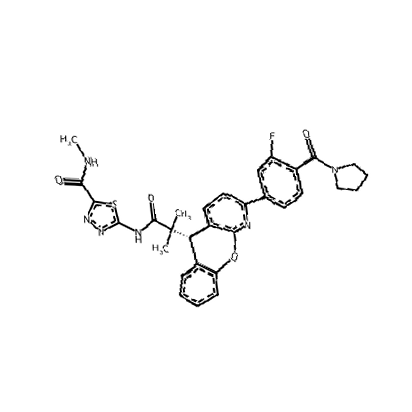 CNC(=O)c1nnc(NC(=O)C(C)(C)[C@H]2c3ccccc3Oc3nc(-c4ccc(C(=O)N5CCCC5)c(F)c4)ccc32)s1